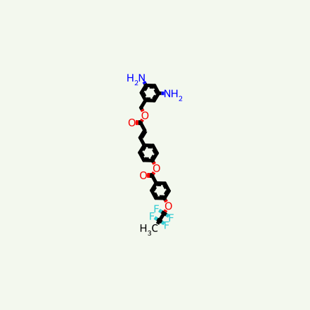 CC(F)(F)C(F)(F)Oc1ccc(C(=O)Oc2ccc(/C=C/C(=O)OCc3cc(N)cc(N)c3)cc2)cc1